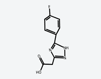 O=C(O)Cc1n[nH]c(-c2ccc(F)cc2)n1